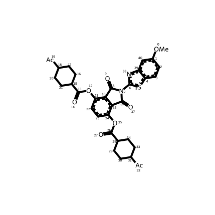 COc1ccc2sc(N3C(=O)c4c(OC(=O)C5CCC(C(C)=O)CC5)ccc(OC(=O)C5CCC(C(C)=O)CC5)c4C3=O)nc2c1